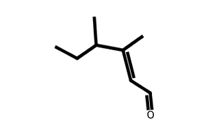 CCC(C)/C(C)=C/C=O